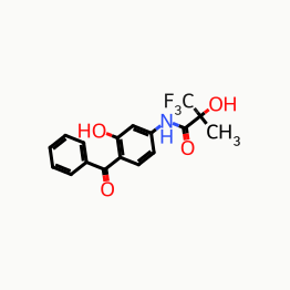 CC(O)(C(=O)Nc1ccc(C(=O)c2ccccc2)c(O)c1)C(F)(F)F